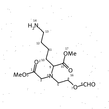 COC(=O)CN(CCOC=O)C(CCCCN)C(=O)OC